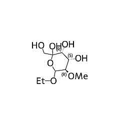 CCOC1OC(O)(CO)[C@H](O)[C@H](O)[C@H]1OC